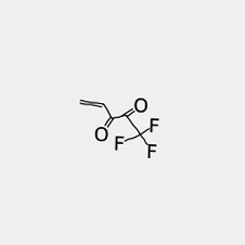 C=CC(=O)C(=O)C(F)(F)F